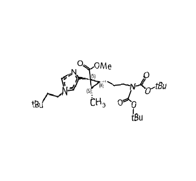 COC(=O)[C@]1(c2cn(CCC(C)(C)C)cn2)[C@H](CCCN(C(=O)OC(C)(C)C)C(=O)OC(C)(C)C)[C@@H]1C